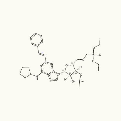 CCOP(=O)(COC[C@H]1O[C@@H](n2cnc3c(NC4CCCC4)nc(/C=C/c4ccccc4)nc32)[C@@H]2OC(C)(C)O[C@@H]21)OCC